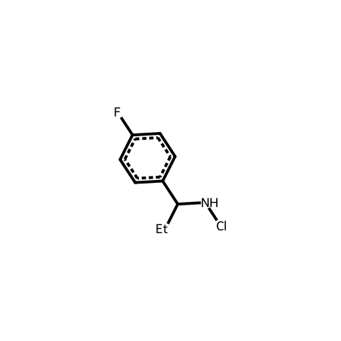 CCC(NCl)c1ccc(F)cc1